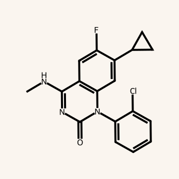 CNc1nc(=O)n(-c2ccccc2Cl)c2cc(C3CC3)c(F)cc12